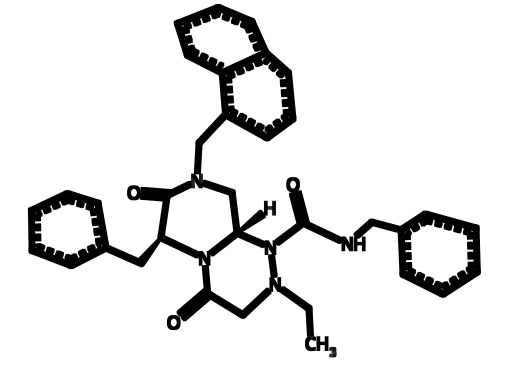 CCN1CC(=O)N2[C@@H](Cc3ccccc3)C(=O)N(Cc3cccc4ccccc34)C[C@@H]2N1C(=O)NCc1ccccc1